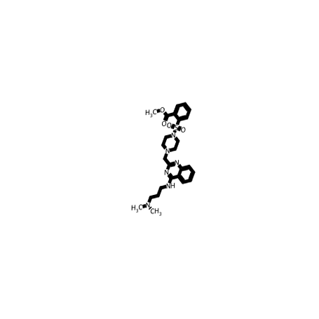 COC(=O)c1ccccc1S(=O)(=O)N1CCN(Cc2nc(NCCCN(C)C)c3ccccc3n2)CC1